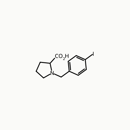 O=C(O)C1CCCN1Cc1ccc(I)cc1